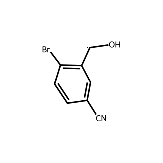 N#Cc1ccc(Br)c([CH]O)c1